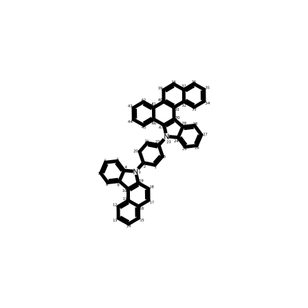 C1=CC(n2c3ccccc3c3c4ccccc4ccc32)CC=C1n1c2ccccc2c2c3c4ccccc4ccc3c3ccccc3c21